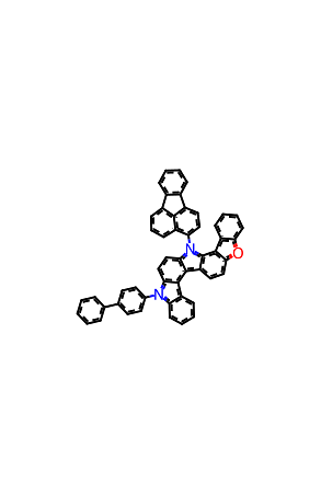 c1ccc(-c2ccc(-n3c4ccccc4c4c5c6ccc7oc8ccccc8c7c6n(-c6ccc7c8c(cccc68)-c6ccccc6-7)c5ccc43)cc2)cc1